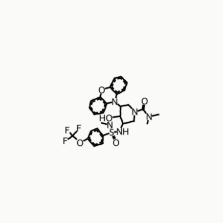 CN=S(=O)(NC1CN(C(=O)N(C)C)CC(N2c3ccccc3Oc3ccccc32)C1O)c1ccc(OC(F)(F)F)cc1